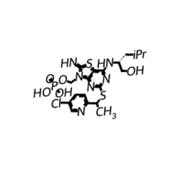 CC(C)C[C@H](CO)Nc1nc(SC(C)c2ccc(Cl)cn2)nc2c1sc(=N)n2COP(=O)(O)O